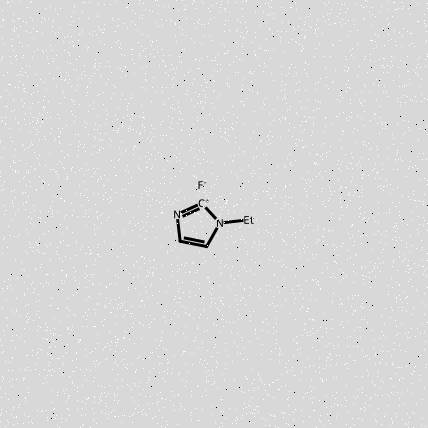 CCN1[C+]=NC=C1.[F-]